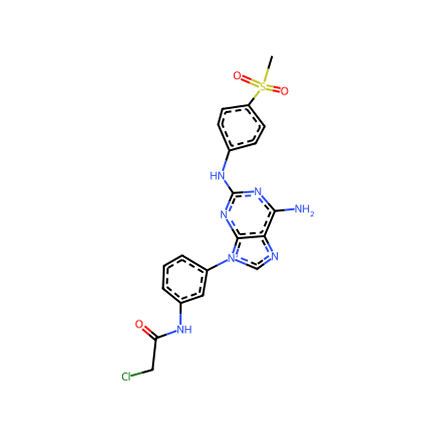 CS(=O)(=O)c1ccc(Nc2nc(N)c3ncn(-c4cccc(NC(=O)CCl)c4)c3n2)cc1